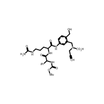 C#CCN(Cc1cc(NC(=O)C(CCCNC(N)=O)NC(=O)C(NC(=O)OC(C)(C)C)C(C)C)ccc1CO)C(=O)O